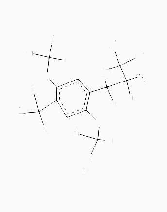 Cl.[2H]C([2H])([2H])Oc1cc(C([2H])([2H])C([2H])(N)C([2H])([2H])[2H])c(OC([2H])([2H])[2H])cc1C([2H])([2H])[2H]